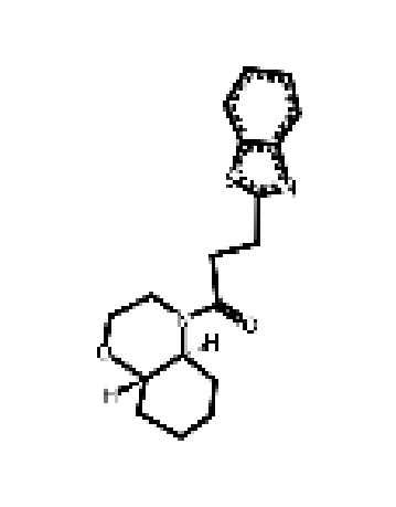 O=C(CCc1nc2ccccc2s1)N1CCO[C@H]2CCCC[C@@H]21